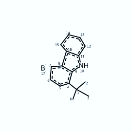 CC(C)(C)c1cccc2c1[nH]c1ccccc12.[B]